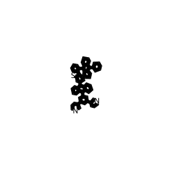 c1ccc(-c2c3ccccc3c(-c3cccc4sc5cc(-c6c7ccccc7c(-c7cc(-c8cccnc8)cc(-c8cccnc8)c7)c7ccccc67)ccc5c34)c3ccccc23)cc1